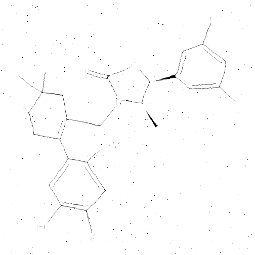 COc1cc(F)c(C(C)C)cc1C1=C(CN2C(=O)O[C@@H](c3cc(C)cc(C(F)(F)F)c3)[C@H]2C)CC(C)(C)CC1